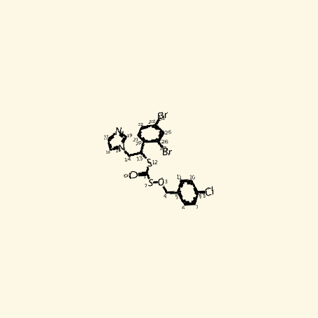 O=C(SOCc1ccc(Cl)cc1)SC(Cn1ccnc1)c1ccc(Br)cc1Br